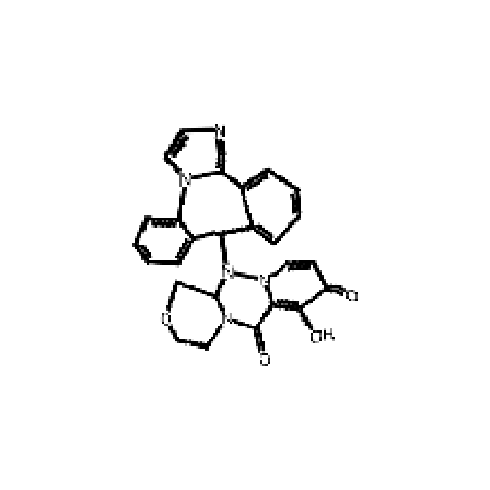 O=C1c2c(O)c(=O)ccn2N(C2c3ccccc3-c3nccn3-c3ccccc32)C2COCCN12